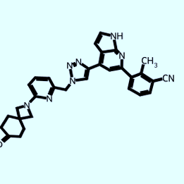 Cc1c(C#N)cccc1-c1cc(-c2cn(Cc3cccc(N4CC5(CCC(=O)CC5)C4)n3)nn2)c2cc[nH]c2n1